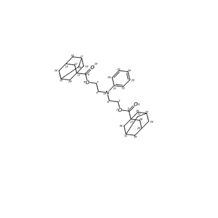 O=C(OCCN(CCOC(=O)C12CC3CC(CC(C3)C1)C2)c1ccccc1)C12CC3CC(CC(C3)C1)C2